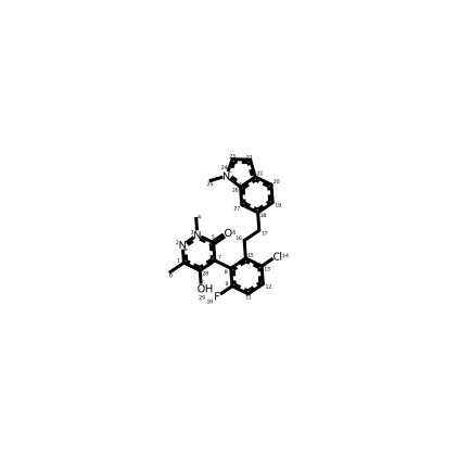 Cc1nn(C)c(=O)c(-c2c(F)ccc(Cl)c2CCc2ccc3ccn(C)c3c2)c1O